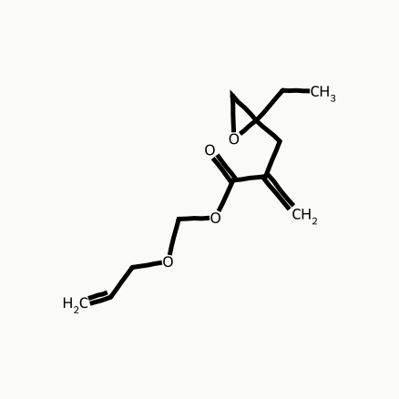 C=CCOCOC(=O)C(=C)CC1(CC)CO1